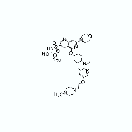 CN1CCN(CCOc2cnc(N[C@H]3CC[C@@H](Oc4nc(N5CCOCC5)cc5ncc(S(=O)(=O)NC(O)OC(C)(C)C)cc45)CC3)nc2)CC1